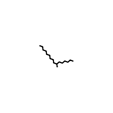 CCCCCCCCCC(C)CCCCCC